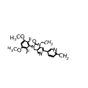 CCN1C(=O)N(c2c(F)c(OC)cc(OC)c2F)Cc2cnc(-c3ccc(C)nc3)cc21